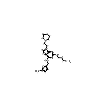 CCCCOc1nc(NCc2ccc(C)o2)c2ncn(CCN3CCOCC3)c2n1